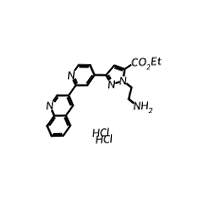 CCOC(=O)c1cc(-c2ccnc(-c3cnc4ccccc4c3)c2)nn1CCN.Cl.Cl